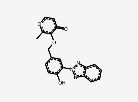 Cc1occc(=O)c1OCc1ccc(O)c(-n2nc3ccccc3n2)c1